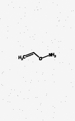 C=CON